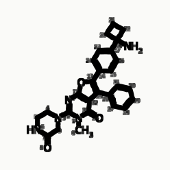 Cn1c(N2CCNC(=O)C2)nc2oc(-c3ccc(C4(N)CCC4)cc3)c(-c3ccccc3)c2c1=O